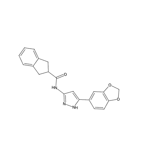 O=C(Nc1cc(-c2ccc3c(c2)OCO3)[nH]n1)C1Cc2ccccc2C1